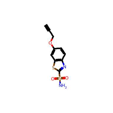 C#CCOc1ccc2nc(S(N)(=O)=O)sc2c1